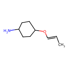 C/C=C/OC1CCC(N)CC1